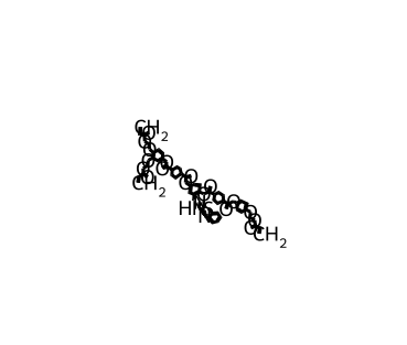 C=CC(=O)OCOc1ccc(OC(=O)C2CCC(C(=O)Oc3ccc(OC(=O)C4CCC(C(=O)Oc5ccc(OCOC(=O)C=C)c(OCOC(=O)C=C)c5)CC4)cc3/C=N/Nc3nc4ccccc4s3)CC2)cc1